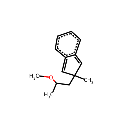 COC(C)CC1(C)C=c2ccccc2=C1